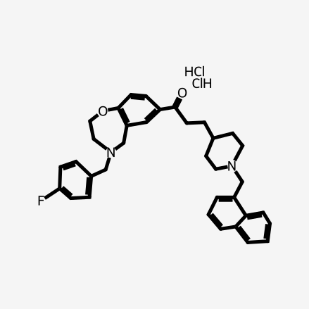 Cl.Cl.O=C(CCC1CCN(Cc2cccc3ccccc23)CC1)c1ccc2c(c1)CN(Cc1ccc(F)cc1)CCO2